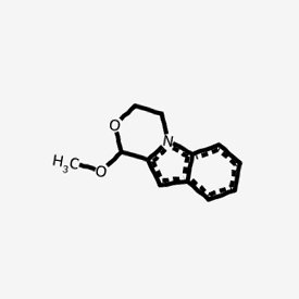 COC1OCCn2c1cc1ccccc12